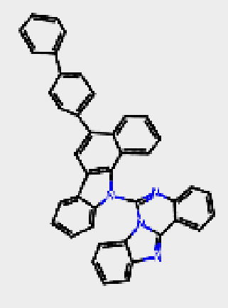 c1ccc(-c2ccc(-c3cc4c5ccccc5n(-c5nc6ccccc6c6nc7ccccc7n56)c4c4ccccc34)cc2)cc1